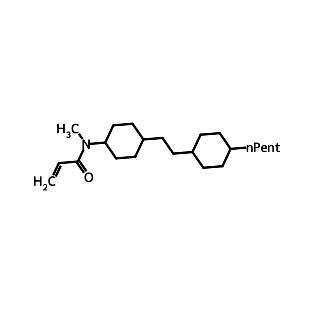 C=CC(=O)N(C)C1CCC(CCC2CCC(CCCCC)CC2)CC1